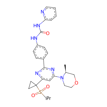 CC(C)S(=O)(=O)C1(c2cc(N3CCOC[C@@H]3C)nc(-c3ccc(NC(=O)Nc4ccccn4)cc3)n2)CC1